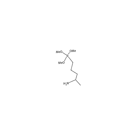 CO[Si](CCCC(C)N)(OC)OC